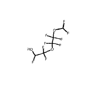 OC(F)C(F)(F)OC(F)(F)C(F)(F)OC(F)F